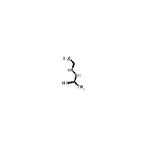 CCNNC(C)N